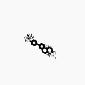 CN1C(=O)CC[C@]2(C)c3ccc(-c4ccc(NS(C)(=O)=O)cc4)cc3CC[C@@H]12